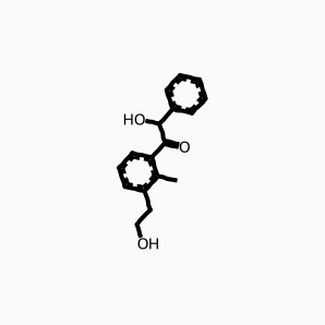 Cc1c(CCO)cccc1C(=O)C(O)c1ccccc1